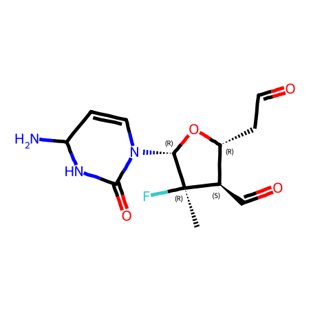 C[C@@]1(F)[C@H](C=O)[C@@H](CC=O)O[C@H]1N1C=CC(N)NC1=O